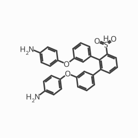 Nc1ccc(Oc2cccc(-c3cccc([SH](=O)=O)c3-c3cccc(Oc4ccc(N)cc4)c3)c2)cc1